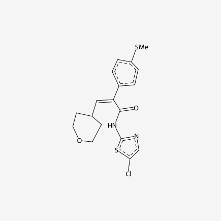 CSc1ccc(C(=CC2CCOCC2)C(=O)Nc2ncc(Cl)s2)cc1